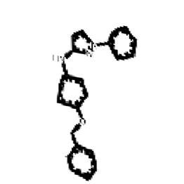 c1ccc(COc2ccc(Nc3ccn(-c4ccccc4)n3)cc2)cc1